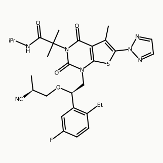 CCc1ccc(F)cc1[C@H](Cn1c(=O)n(C(C)(C)C(=O)NC(C)C)c(=O)c2c(C)c(-n3nccn3)sc21)OC[C@H](C)C#N